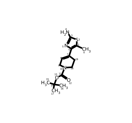 Cc1sc(N)nc1C1=CCN(C(=O)OC(C)(C)C)CC1